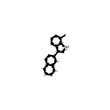 Cc1cccc2c(-c3ccc4ccccc4c3)c[nH]c12